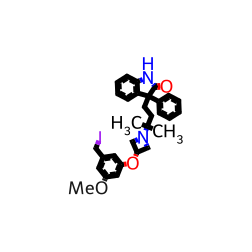 COc1cc(CI)cc(OC2CN(C(C)(C)CCC3(c4ccccc4)C(=O)Nc4ccccc43)C2)c1